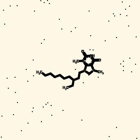 CCCCCCCC(CC)CCN1CN(C)c2c1n(C)c(=O)[nH]c2=O